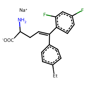 CCc1ccc(/C(=C\CC(N)C(=O)[O-])c2ccc(F)cc2F)cc1.[Na+]